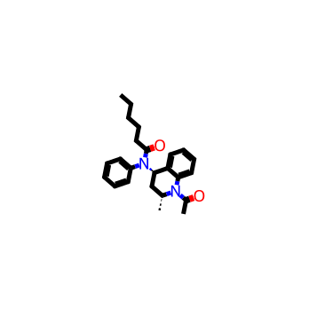 CCCCCC(=O)N(c1ccccc1)[C@H]1C[C@@H](C)N(C(C)=O)c2ccccc21